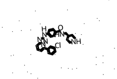 O=C(NCC1CCNCC1)c1ccc(Nc2nc3cccc(-c4cccc(Cl)c4)n3n2)cc1